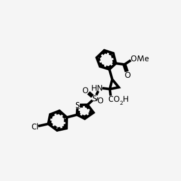 COC(=O)c1ccccc1C1CC1(NS(=O)(=O)c1ccc(-c2ccc(Cl)cc2)s1)C(=O)O